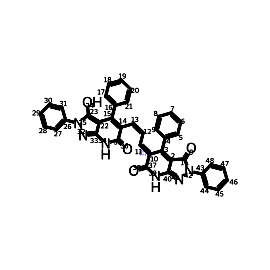 O=C1c2c(-c3ccccc3)/c(=C\C=Cc3c(-c4ccccc4)c4c(O)n(-c5ccccc5)nc4[nH]c3=O)c(=O)[nH]c2=NN1c1ccccc1